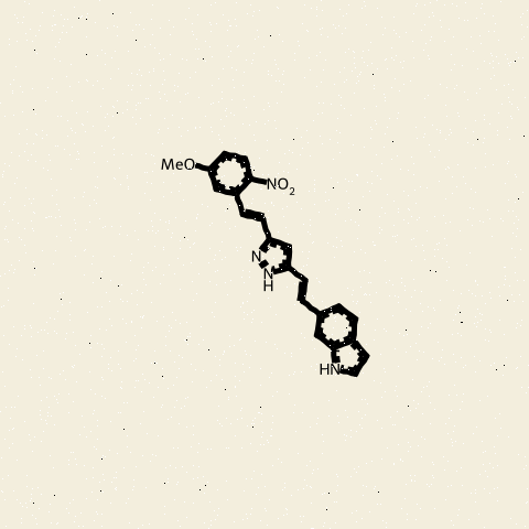 COc1ccc([N+](=O)[O-])c(/C=C/c2cc(/C=C/c3ccc4cc[nH]c4c3)[nH]n2)c1